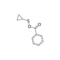 O=C(OSC1CC1)c1ccccc1